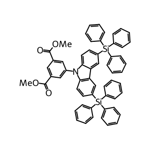 COC(=O)c1cc(C(=O)OC)cc(-n2c3ccc([Si](c4ccccc4)(c4ccccc4)c4ccccc4)cc3c3cc([Si](c4ccccc4)(c4ccccc4)c4ccccc4)ccc32)c1